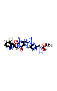 Cn1c(Nc2ccnc(CNC(=O)OC(C)(C)C)n2)nc2c1c(=O)n(Cc1cc3c(Cl)cccc3[nH]1)c(=O)n2C